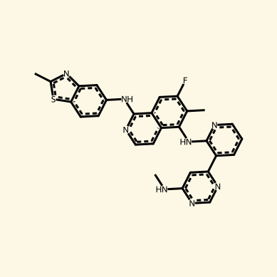 CNc1cc(-c2cccnc2Nc2c(C)c(F)cc3c(Nc4ccc5sc(C)nc5c4)nccc23)ncn1